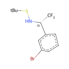 CC(C)(C)SN[C@@H](c1cccc(Br)c1)C(F)(F)F